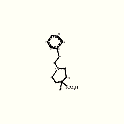 CC1(C(=O)O)CCN(CCc2ccccc2)CC1